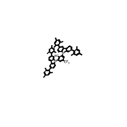 Cc1cc(C)c(-c2ccc3c(c2)c2ccc(-c4c(C)cc(C)cc4C)cc2n3-c2cc(C(F)(F)F)cc(-n3c4ccc(-c5c(C)cc(C)cc5C)cc4c4ccc(-c5c(C)cc(C)cc5C)cc43)c2C#N)c(C)c1